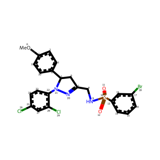 COc1ccc(C2CC(CNS(=O)(=O)c3cccc(Br)c3)=NN2c2ccc(Cl)cc2Cl)cc1